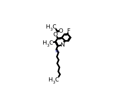 CCCCCCC/C=C/c1nc2ccc(F)cc2c(OC(C)=O)c1C